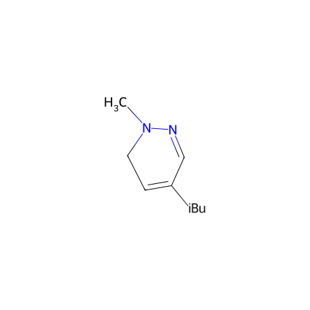 CCC(C)C1=CCN(C)N=C1